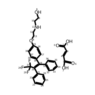 O=C(O)/C=C/C(=O)O.OCCNCCOc1ccc(/C(=C(/c2ccccc2)C(F)(F)F)c2ccccc2)cc1